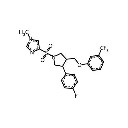 Cn1cnc(S(=O)(=O)N2CC(COc3cccc(C(F)(F)F)c3)C(c3ccc(F)cc3)C2)c1